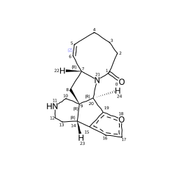 O=C1CCC/C=C\[C@H]2C[C@]34CNCC[C@H]3c3ccoc3[C@@H]4N12